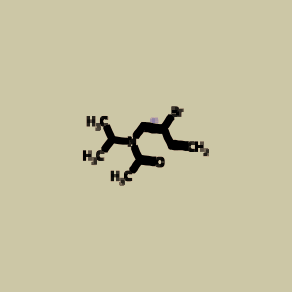 C=C/C(Br)=C\N(C(C)=O)C(C)C